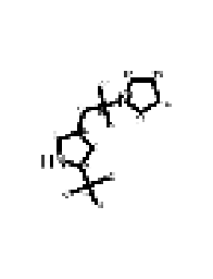 CC(C)(C)C1CC(CC(C)(C)N2CCCC2)CN1